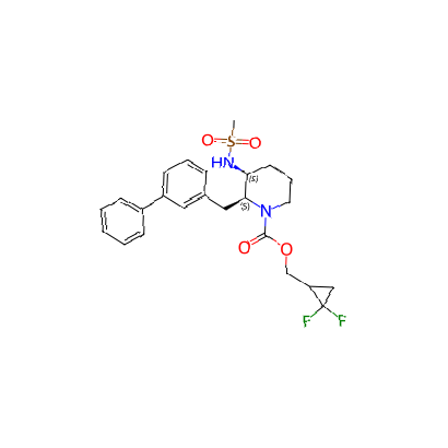 CS(=O)(=O)N[C@H]1CCCN(C(=O)OCC2CC2(F)F)[C@H]1Cc1cccc(-c2ccccc2)c1